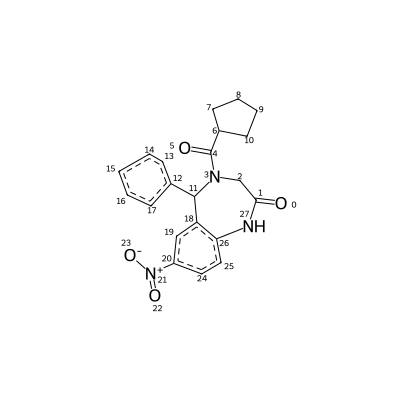 O=C1CN(C(=O)C2CCCC2)C(c2ccccc2)c2cc([N+](=O)[O-])ccc2N1